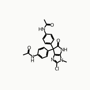 CC(=O)Nc1ccc(C2(c3ccc(NC(C)=O)cc3)C(=O)Nc3c2nc(Cl)n3C)cc1